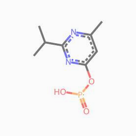 Cc1cc(O[P](=O)O)nc(C(C)C)n1